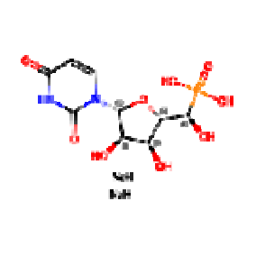 O=c1ccn([C@@H]2O[C@H]([C@H](O)P(=O)(O)O)[C@@H](O)[C@H]2O)c(=O)[nH]1.[NaH].[NaH]